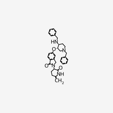 C=C1CCC(N2Cc3cc(O[C@H]4CN(Cc5ccccc5)CC[C@@H]4NCc4ccccc4)ccc3C2=O)C(=O)N1